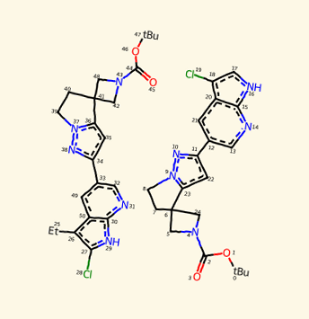 CC(C)(C)OC(=O)N1CC2(CCn3nc(-c4cnc5[nH]cc(Cl)c5c4)cc32)C1.CCc1c(Cl)[nH]c2ncc(-c3cc4n(n3)CCC43CN(C(=O)OC(C)(C)C)C3)cc12